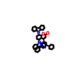 O=c1cc(-c2cc(-c3ccccc3)nc(-c3ccccc3)n2)c2c(-n3c4ccccc4c4ccccc43)ccc(-n3c4ccccc4c4ccccc43)c2o1